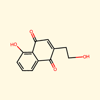 O=C1C(CCO)=CC(=O)c2c(O)cccc21